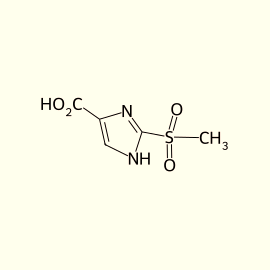 CS(=O)(=O)c1nc(C(=O)O)c[nH]1